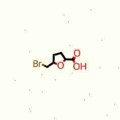 O=C(O)C1CCC(CBr)O1